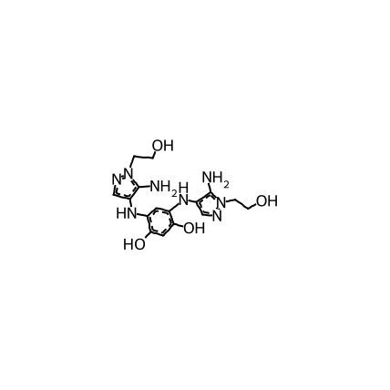 Nc1c(Nc2cc(Nc3cnn(CCO)c3N)c(O)cc2O)cnn1CCO